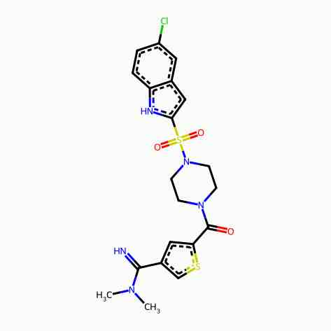 CN(C)C(=N)c1csc(C(=O)N2CCN(S(=O)(=O)c3cc4cc(Cl)ccc4[nH]3)CC2)c1